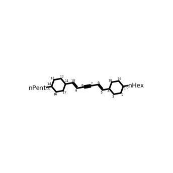 CCCCCCC1CCC(C=CC#CC=CC2CCC(CCCCC)CC2)CC1